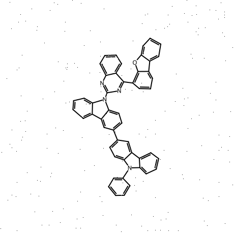 c1ccc(-n2c3ccccc3c3cc(-c4ccc5c(c4)c4ccccc4n5-c4nc(-c5cccc6c5oc5ccccc56)c5ccccc5n4)ccc32)cc1